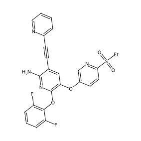 CCS(=O)(=O)c1ccc(Oc2cc(C#Cc3ccccn3)c(N)nc2Oc2c(F)cccc2F)cn1